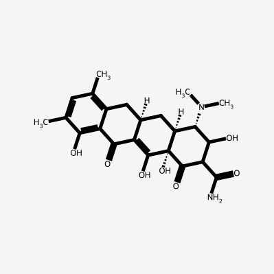 Cc1cc(C)c2c(c1O)C(=O)C1=C(O)[C@]3(O)C(=O)C(C(N)=O)C(O)[C@@H](N(C)C)[C@@H]3C[C@@H]1C2